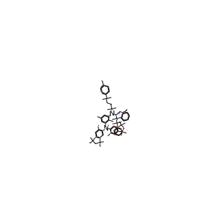 C=C/C=C(/N(c1cc(C)cc(N(c2cc3c(cc2C)C(C)(C)CC3(C)C)c2cc3c(cc2C)C(C)(C)CC3(C)C)c1C)C(C)(C)CCC(C)(C)c1ccc(C)cc1)C(C)(c1ccccc1)C(C)(C)c1ccccc1